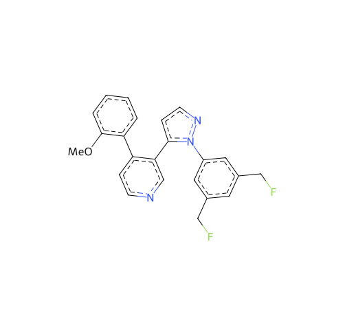 COc1ccccc1-c1ccncc1-c1ccnn1-c1cc(CF)cc(CF)c1